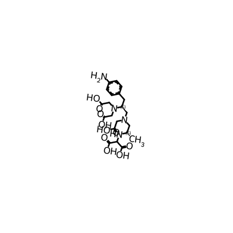 C[C@@H](CN(CC(=O)O)C[C@H](Cc1ccc(N)cc1)N(CC(=O)O)CC(=O)O)NC(C(=O)O)C(=O)O